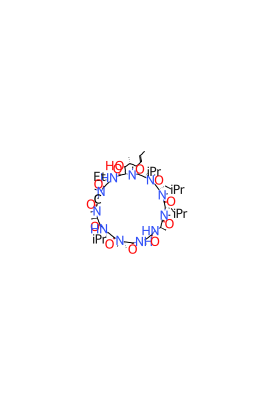 C/C=C/C[C@@H](C)[C@@H](O)[C@H]1C(=O)N[C@@H](CC)C(=O)N(C)CC(=O)N(C)[C@H](C)C(=O)N[C@@H](C(C)C)C(=O)N(C)[C@@H](C)C(=O)N[C@@H](C)C(=O)N[C@H](C)C(=O)N(C)[C@@H](CC(C)C)C(=O)N(C)[C@@H](CC(C)C)C(=O)N(C)[C@@H](C(C)C)C(=O)N1C